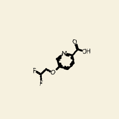 O=C(O)c1ccc(OCC(F)F)cn1